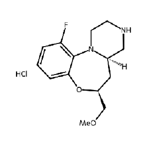 COC[C@@H]1C[C@@H]2CNCCN2c2c(F)cccc2O1.Cl